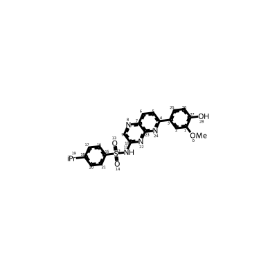 COc1cc(-c2ccc3ncc(NS(=O)(=O)c4ccc(C(C)C)cc4)nc3n2)ccc1O